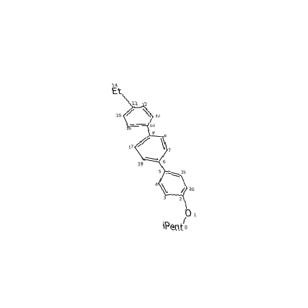 CCCC(C)Oc1ccc(-c2ccc(-c3ccc(CC)cc3)cc2)cc1